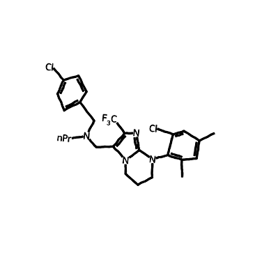 CCCN(Cc1ccc(Cl)cc1)Cc1c(C(F)(F)F)nc2n1CCCN2c1c(C)cc(C)cc1Cl